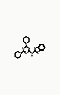 c1ccc2sc(Nc3nc(N4CCCCC4)nc(N4CCCCC4)n3)nc2c1